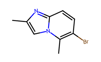 Cc1cn2c(C)c(Br)ccc2n1